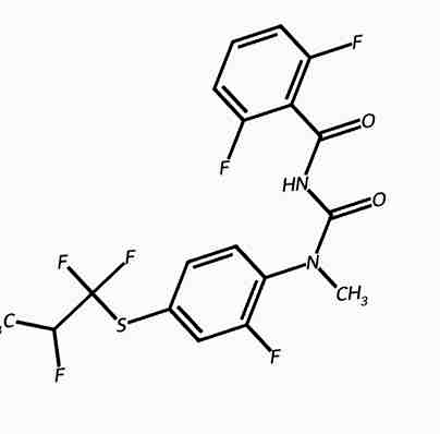 CN(C(=O)NC(=O)c1c(F)cccc1F)c1ccc(SC(F)(F)C(F)C(F)(F)F)cc1F